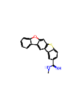 CNC(=N)c1ccc2sc3cc4oc5ccccc5c4cc3c2c1